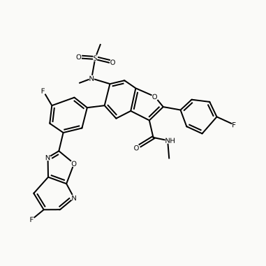 CNC(=O)c1c(-c2ccc(F)cc2)oc2cc(N(C)S(C)(=O)=O)c(-c3cc(F)cc(-c4nc5cc(F)cnc5o4)c3)cc12